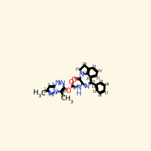 Cc1cc2nnc(OC(=O)N[C@@H]3N=C(c4ccccc4)c4cccc5c4N(CC5)C3=O)c(C)n2n1